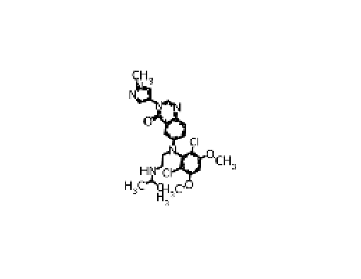 COc1cc(OC)c(Cl)c(N(CCNC(C)C)c2ccc3ncn(-c4cnn(C)c4)c(=O)c3c2)c1Cl